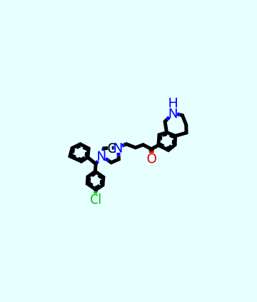 O=C(CCCN1CCN(C(c2ccccc2)c2ccc(Cl)cc2)CC1)c1ccc2c(c1)CNCCC2